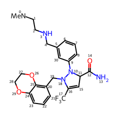 CNCCNCc1cccc(N2C(C(N)=O)C=C(C(F)(F)F)N2Cc2cccc3c2OCCO3)c1